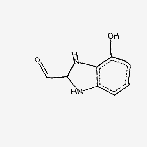 O=CC1Nc2cccc(O)c2N1